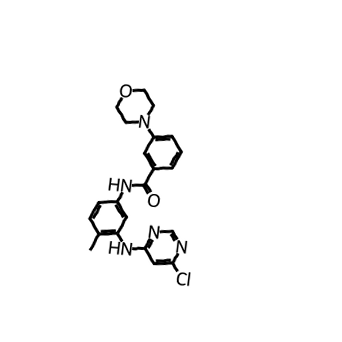 Cc1ccc(NC(=O)c2cccc(N3CCOCC3)c2)cc1Nc1cc(Cl)ncn1